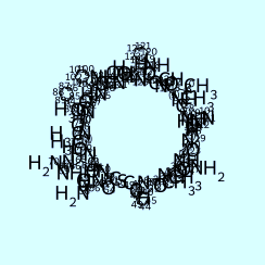 CC(C)C[C@@H]1NC[C@H](Cc2cnc[nH]2)NC(=O)[C@@H]2CCCN2C(=O)[C@H](CC(N)=O)NC(=O)[C@H](C)N(C)C(=O)[C@H](Cc2ccccc2)NC(=O)CSC[C@@H](C(=O)NCC(N)=O)NC(=O)[C@H](CCCNC(=N)N)NC(=O)[C@H](C)N(C)C(=O)[C@H](COCc2ccccc2)N(C)C(=O)[C@H](Cc2c[nH]c3ccccc23)NC(=O)[C@H](CO)NC(=O)[C@H](Cc2c[nH]c3ccccc23)NC(=O)CN(C)C1=O